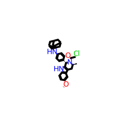 COc1ccc2[nH]c3c(c2c1)C[C@H](C)N(C(=O)CCl)[C@H]3c1ccc(NC23CC4CC(CC(C4)C2)C3)cc1